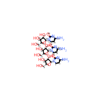 Nc1ccn([C@@H]2O[C@H](CO)[C@@H](O)[C@@H]2O)c(=O)n1.Nc1ccn([C@@H]2O[C@H](CO)[C@@H](O)[C@@H]2O)c(=O)n1.Nc1ccn([C@@H]2O[C@H](CO)[C@@H](O)[C@@H]2O)c(=O)n1